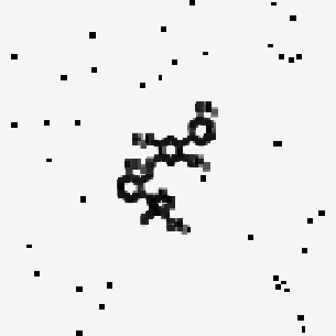 Cc1cccc(-c2cc(C)c(OCc3c(C)cccc3-n3nnn(C)c3=S)cc2C)c1